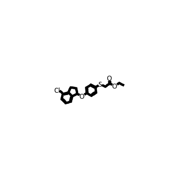 CCOC(=O)CSc1ccc(OC2CCc3c(Cl)cccc32)cc1